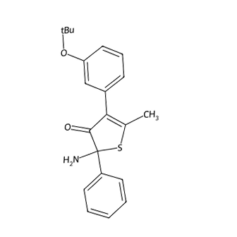 CC1=C(c2cccc(OC(C)(C)C)c2)C(=O)C(N)(c2ccccc2)S1